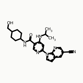 CC(C)Nc1cc(-n2ccc3cc(C#N)cnc32)ncc1C(=O)NC1CCC(CO)CC1